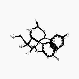 CCC(O)(CC)[C@H]1NC(=O)C[C@@H](c2cccc(Cl)c2)[C@]12C(=O)Nc1cc(Cl)ccc12